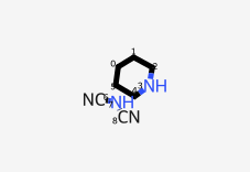 C1CCNCC1.N#CNC#N